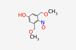 COCc1cc(O)cc(COC)c1N=O